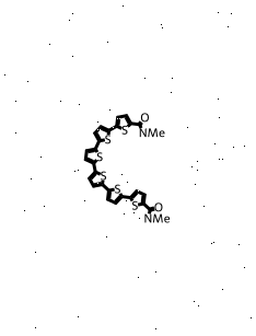 CNC(=O)c1ccc(-c2ccc(-c3ccc(-c4ccc(-c5ccc(-c6ccc(C(=O)NC)s6)s5)s4)s3)s2)s1